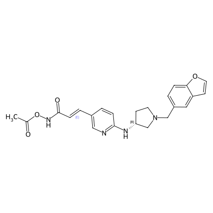 CC(=O)ONC(=O)/C=C/c1ccc(N[C@@H]2CCN(Cc3ccc4occc4c3)C2)nc1